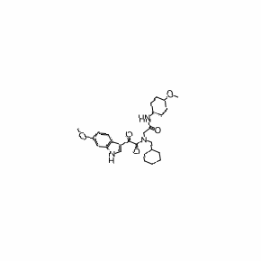 COc1ccc2c(C(=O)C(=O)N(CC(=O)NC3CCC(OC)CC3)CC3CCCCC3)c[nH]c2c1